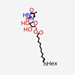 CCCCCC/C=C/CCCCCCCCCC(=O)OC[C@H]1O[C@@H](n2cc(C)c(=O)[nH]c2=O)[C@@H](O)[C@@H]1O